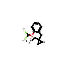 CCC1(Cc2ccccc2OC(F)F)CC1